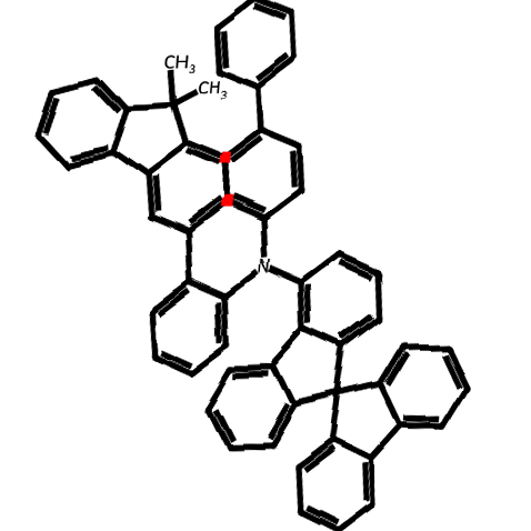 CC1(C)c2ccccc2-c2cc(-c3ccccc3N(c3ccc(-c4ccccc4)cc3)c3cccc4c3-c3ccccc3C43c4ccccc4-c4ccccc43)ccc21